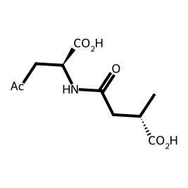 CC(=O)C[C@H](NC(=O)C[C@H](C)C(=O)O)C(=O)O